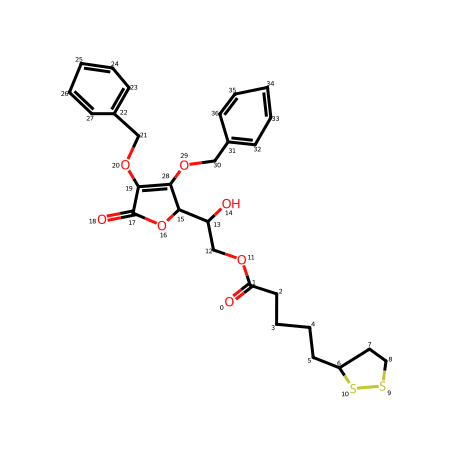 O=C(CCCCC1CCSS1)OCC(O)C1OC(=O)C(OCc2ccccc2)=C1OCc1ccccc1